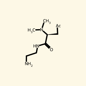 CC(=O)C[C@@H](C(=O)NCCN)N(C)C